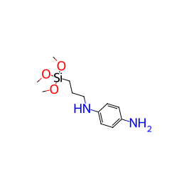 CO[Si](CCCNc1ccc(N)cc1)(OC)OC